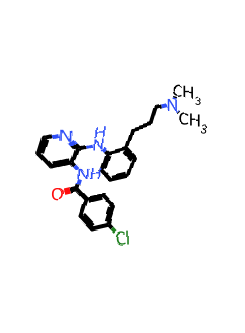 CN(C)CCCc1ccccc1Nc1ncccc1NC(=O)c1ccc(Cl)cc1